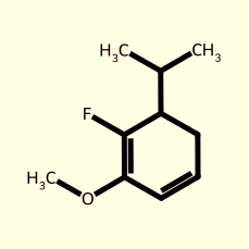 COC1=C(F)C(C(C)C)CC=C1